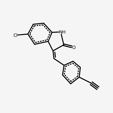 C#Cc1ccc(/C=C2\C(=O)Nc3ccc(Cl)cc32)cc1